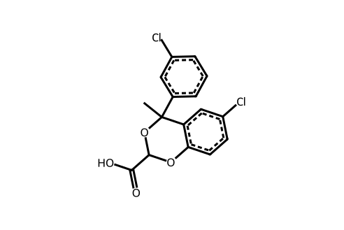 CC1(c2cccc(Cl)c2)OC(C(=O)O)Oc2ccc(Cl)cc21